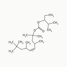 CCC(OC(=O)OC(C)(C)CC(C)/C=C\C(C)CC(C)(C)C)C(C)C